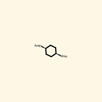 CC(=O)N[C@H]1CC[C@@H](NC(C)=O)CC1